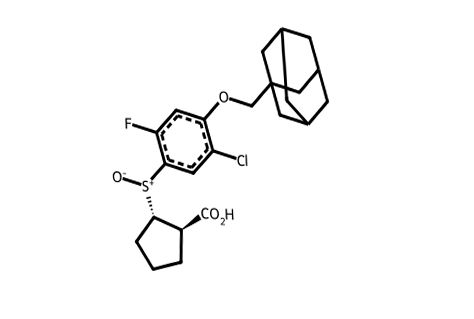 O=C(O)[C@H]1CCC[C@@H]1[S+]([O-])c1cc(Cl)c(OCC23CC4CC(CC(C4)C2)C3)cc1F